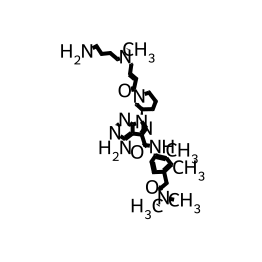 Cc1c(CC(=O)N(C)C)ccc(NC(=O)c2nn([C@@H]3CCCN(C(=O)/C=C/CN(C)CCCCN)C3)c3ncnc(N)c23)c1C